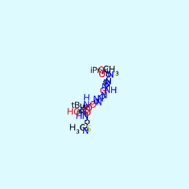 Cc1ncsc1-c1ccc(CNC(=O)[C@@H]2C[C@@H](O)CN2C(=O)[C@@H](NC(=O)COc2cnc(N3CCN(CC(=O)Nc4cn5nc(-c6cncc(N(C)C(=O)OC(C)C)c6)ccc5n4)CC3)nc2)C(C)(C)C)cc1